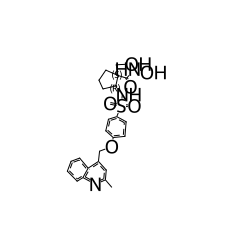 Cc1cc(COc2ccc(S(=O)(=O)N[C@@H]3CCC[C@]3(CO)C(=O)NO)cc2)c2ccccc2n1